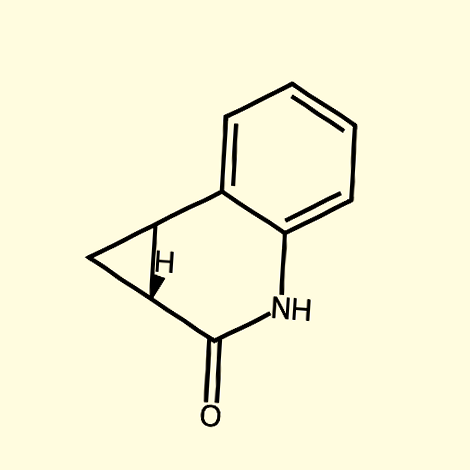 O=C1Nc2ccccc2C2C[C@@H]12